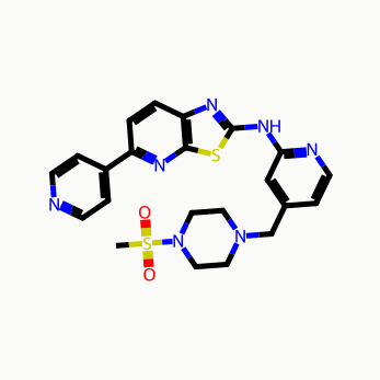 CS(=O)(=O)N1CCN(Cc2ccnc(Nc3nc4ccc(-c5ccncc5)nc4s3)c2)CC1